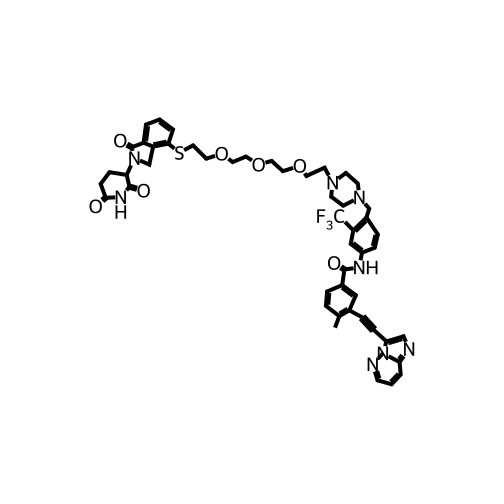 Cc1ccc(C(=O)Nc2ccc(CN3CCN(CCOCCOCCOCCSc4cccc5c4CN(C4CCC(=O)NC4=O)C5=O)CC3)c(C(F)(F)F)c2)cc1C#Cc1cnc2cccnn12